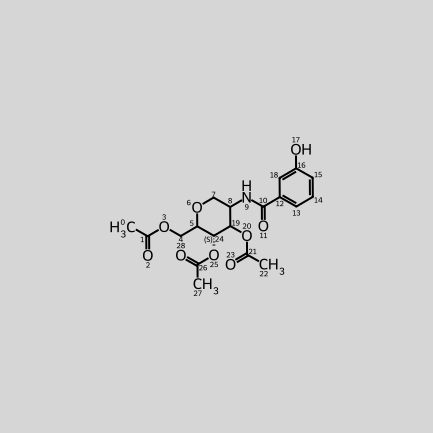 CC(=O)OCC1OCC(NC(=O)c2cccc(O)c2)C(OC(C)=O)[C@@H]1OC(C)=O